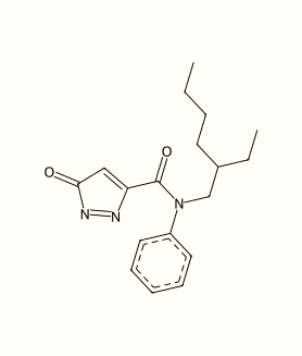 CCCCC(CC)CN(C(=O)C1=CC(=O)N=N1)c1ccccc1